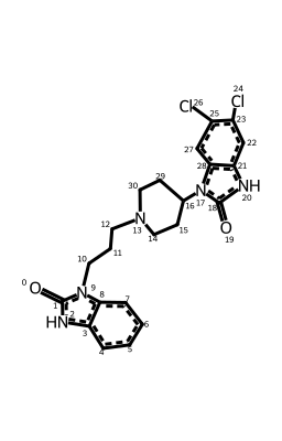 O=c1[nH]c2ccccc2n1CCCN1CCC(n2c(=O)[nH]c3cc(Cl)c(Cl)cc32)CC1